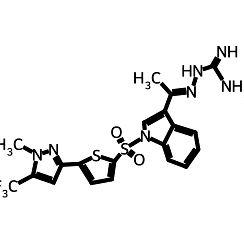 CC(=NNC(=N)N)c1cn(S(=O)(=O)c2ccc(-c3cc(C(F)(F)F)n(C)n3)s2)c2ccccc12